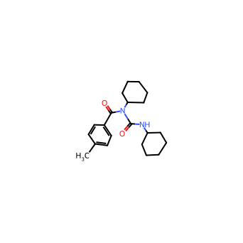 Cc1ccc(C(=O)N(C(=O)NC2CCCCC2)C2CCCCC2)cc1